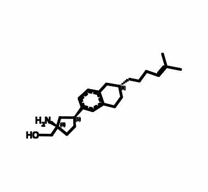 CC(C)=CCCC[C@@H]1CCc2cc([C@H]3CC[C@](N)(CO)C3)ccc2C1